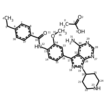 CC(=O)O.CCc1ccc(C(=O)Nc2ccc(-c3nn(C4CCNCC4)c4ncnc(N)c34)cc2OC)cc1